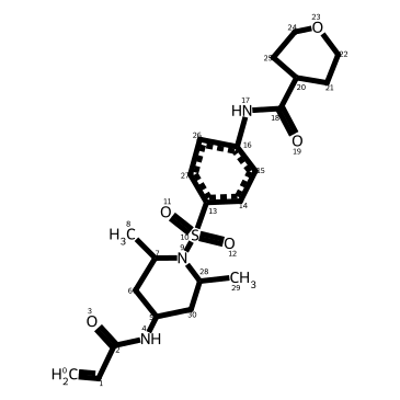 C=CC(=O)NC1CC(C)N(S(=O)(=O)c2ccc(NC(=O)C3CCOCC3)cc2)C(C)C1